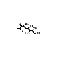 CC(Br)C(=O)N(CC(O)C(O)C(O)CO)C(C)(C)C